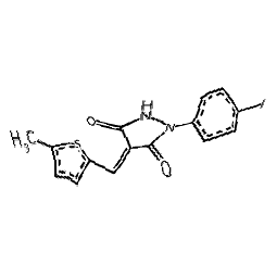 Cc1ccc(C=C2C(=O)NN(c3ccc(I)cc3)C2=O)s1